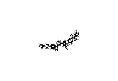 Cn1cc(C(O)C(=O)N2CC[C@H](Oc3ccc(-c4ncnc(Nc5ccc(N6CCN(C7COC7)CC6)cc5)n4)cc3C#N)[C@@H](F)C2)cn1